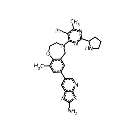 Cc1cc(-c2cnc3sc(N)nc3c2)cc2c1OCCN(c1nc(C3CCCN3)nc(C)c1C(C)C)C2